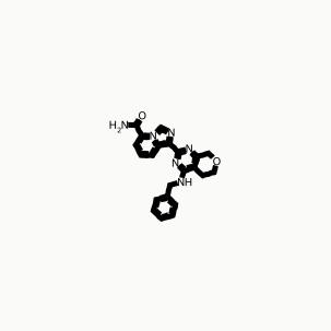 NC(=O)c1cccc2c(-c3nc4c(c(NCc5ccccc5)n3)CCOC4)ncn12